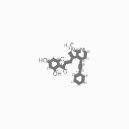 Cn1cc(C=C2Oc3cc(O)cc(O)c3C2=O)c2c(C#Cc3ccccc3)ccnc21